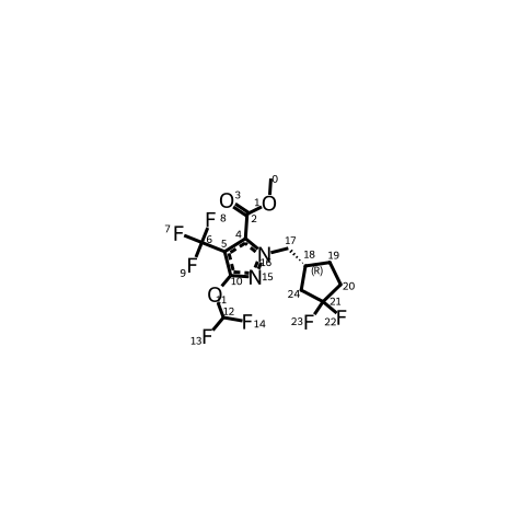 COC(=O)c1c(C(F)(F)F)c(OC(F)F)nn1C[C@@H]1CCC(F)(F)C1